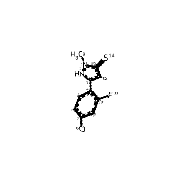 Cn1[nH]c(-c2ccc(Cl)cc2F)cc1=S